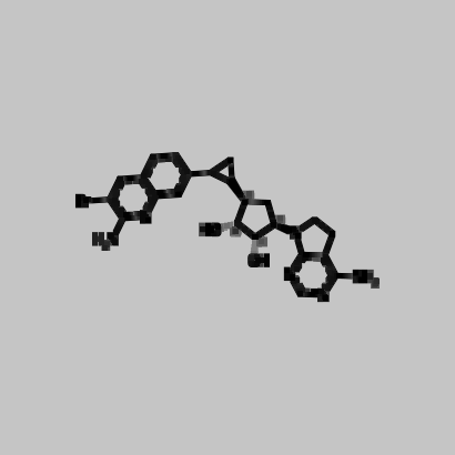 Nc1nc2cc(C3CC3[C@H]3C[C@@H](N4CCc5c(N)ncnc54)[C@H](O)[C@@H]3O)ccc2cc1Br